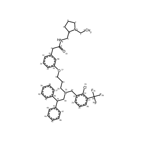 CCN1CCCC1CNC(=O)Cc1cccc(OCCCN(Cc2cccc(C(F)(F)F)c2Cl)CC(c2ccccc2)c2ccccc2)c1